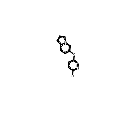 Clc1ccc(Oc2ccc3ccnn3c2)nn1